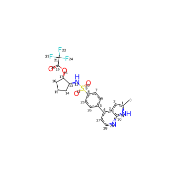 Cc1cc2c(-c3ccc(S(=O)(=O)N[C@H]4CCC[C@H]4OC(=O)C(F)(F)F)cc3)ccnc2[nH]1